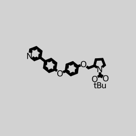 CC(C)(C)OC(=O)N1CCCC1COc1ccc(Oc2ccc(-c3cccnc3)cc2)cc1